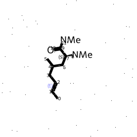 C/C=C/CC(C)C[C@H](NC)C(=O)NC